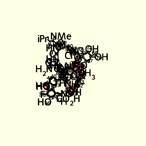 CN[C@H](CC(C)C)C(=O)NC1C(=O)N[C@@H](CC(N)=O)C(=O)N[C@H]2C(=O)N[C@H]3C(=O)N[C@H](C(=O)N[C@@H](C(=O)O)c4cc(O)c(F)c(O)c4-c4cc3ccc4O)[C@H](O)c3ccc(c(Cl)c3)Oc3cc2cc(c3OC2C[C@@H](CO)[C@@H](O)[C@H](O)[C@@H]2O[C@@H]2C[C@](C)(N)[C@H](O)[C@@H](C)O2)Oc2ccc(cc2Cl)[C@H]1O